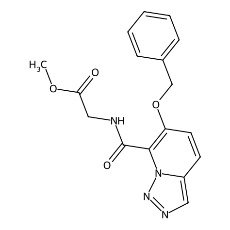 COC(=O)CNC(=O)c1c(OCc2ccccc2)ccc2cnnn12